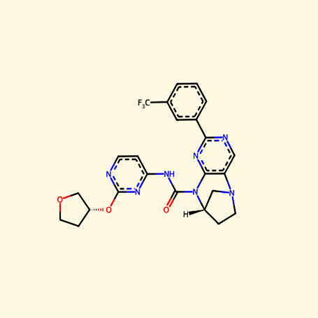 O=C(Nc1ccnc(O[C@@H]2CCOC2)n1)N1c2nc(-c3cccc(C(F)(F)F)c3)ncc2N2CC[C@H]1C2